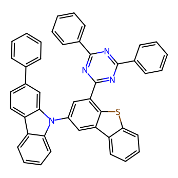 c1ccc(-c2ccc3c4ccccc4n(-c4cc(-c5nc(-c6ccccc6)nc(-c6ccccc6)n5)c5sc6ccccc6c5c4)c3c2)cc1